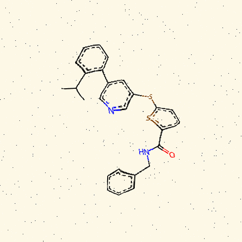 CC(C)c1ccccc1-c1cncc(Sc2ccc(C(=O)NCc3ccccc3)s2)c1